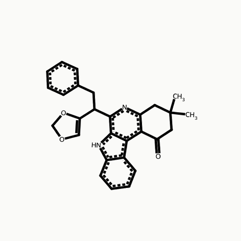 CC1(C)CC(=O)c2c(nc(C(Cc3ccccc3)C3=COCO3)c3[nH]c4ccccc4c23)C1